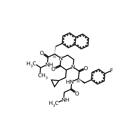 CNCC(=O)N[C@H](Cc1ccc(F)cc1)C(=O)N1CCN([C@@H](Cc2ccc3ccccc3c2)C(=O)NC(C)C)C(=O)C1CC1CC1